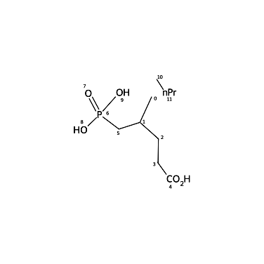 CC(CCC(=O)O)CP(=O)(O)O.CCCC